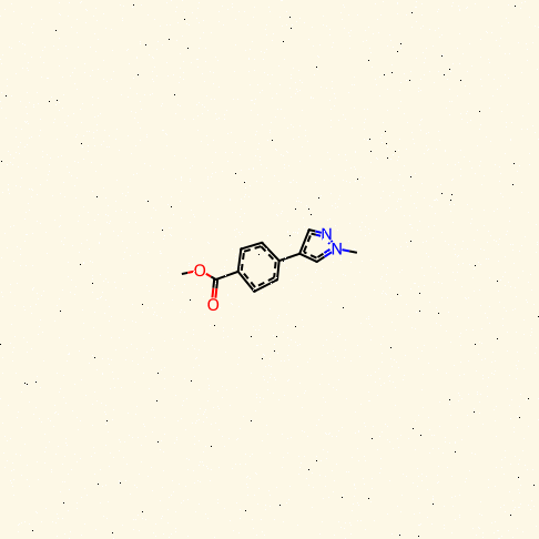 COC(=O)c1ccc(-c2cnn(C)c2)cc1